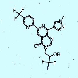 Cn1cc(-c2nc(-c3ccc(C(F)(F)F)cn3)cc3c(=O)n(CC(O)C(F)(F)F)cnc23)cn1